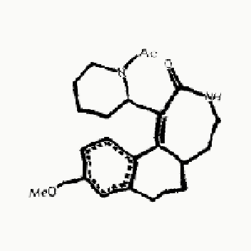 COc1ccc2c(c1)CCC1CCNC(=O)C(C3CCCCN3C(C)=O)=C21